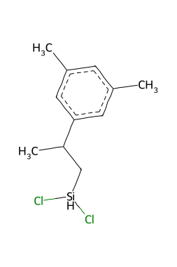 Cc1cc(C)cc(C(C)C[SiH](Cl)Cl)c1